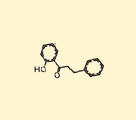 O=C(CCc1ccccc1)c1c[c]ccc1O